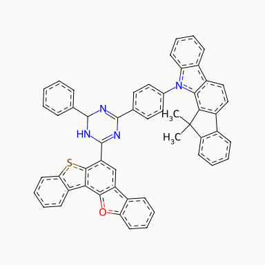 CC1(C)c2ccccc2-c2ccc3c4ccccc4n(-c4ccc(C5=NC(c6ccccc6)NC(c6cc7c8ccccc8oc7c7c6sc6ccccc67)=N5)cc4)c3c21